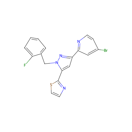 Fc1ccccc1Cn1nc(-c2cc(Br)ccn2)cc1-c1nccs1